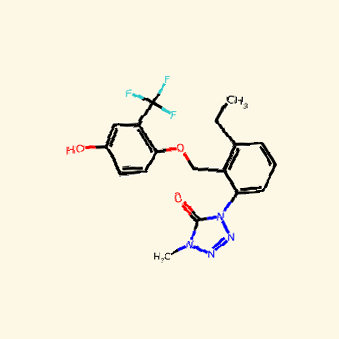 CCc1cccc(-n2nnn(C)c2=O)c1COc1ccc(O)cc1C(F)(F)F